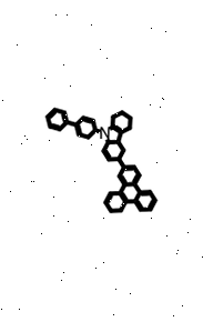 C1=Cc2c(c3ccccc3c3ccc(C4C=CC5C(C4)C4=C(CCCC4)N5C4C=CC(c5ccccc5)=CC4)cc23)CC1